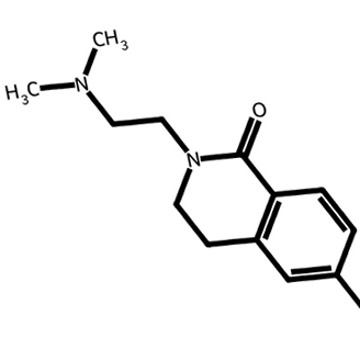 CN(C)CCN1CCc2cc(Br)ccc2C1=O